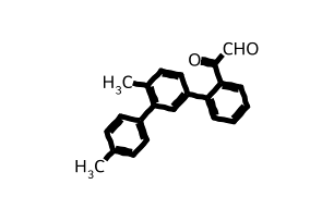 Cc1ccc(-c2cc(-c3ccccc3C(=O)C=O)ccc2C)cc1